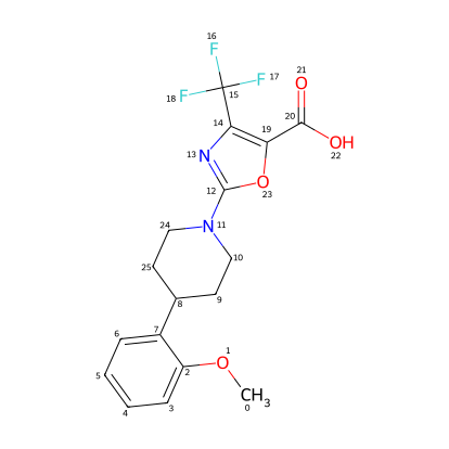 COc1ccccc1C1CCN(c2nc(C(F)(F)F)c(C(=O)O)o2)CC1